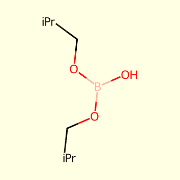 CC(C)COB(O)OCC(C)C